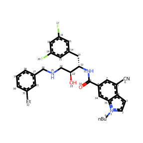 CCCCn1ccc2c(C#N)cc(C(=O)N[C@@H](Cc3cc(F)cc(F)c3)[C@@H](O)CNCc3cccc(CC)c3)cc21